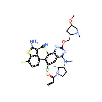 C=CC(=O)N1CC[C@@H](N(C)c2nc(OC[C@@H]3C[C@@H](OC)CN3C)nc3c(F)c(-c4ccc(F)c5sc(N)c(C#N)c45)c(Cl)cc23)[C@H]1C